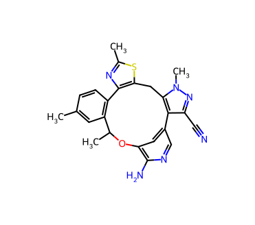 Cc1ccc2c(c1)C(C)Oc1cc(cnc1N)-c1c(C#N)nn(C)c1Cc1sc(C)nc1-2